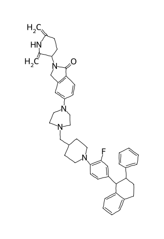 C=C1CCC(N2Cc3cc(N4CCN(CC5CCN(c6ccc(C7c8ccccc8CCC7c7ccccc7)cc6F)CC5)CC4)ccc3C2=O)C(=C)N1